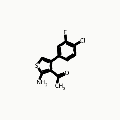 CC(=O)c1c(-c2ccc(Cl)c(F)c2)csc1N